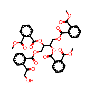 COC(=O)c1ccccc1C(=O)OCC(OC(=O)c1ccccc1C(=O)OC)C(COC(=O)c1ccccc1C(=O)CO)OC(=O)c1ccccc1C(=O)OC